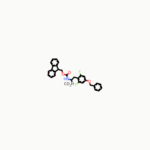 O=C(NC(Cc1c(F)cc(OCc2ccccc2)cc1F)C(=O)O)OCC1c2ccccc2-c2ccccc21